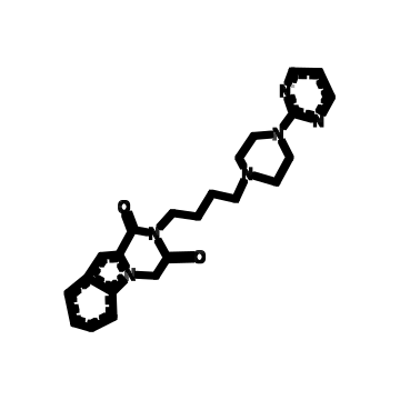 O=C1Cn2c(cc3ccccc32)C(=O)N1CCCCN1CCN(c2ncccn2)CC1